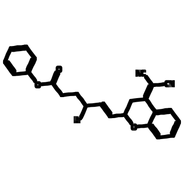 N#CC(C#N)=C1CC(/C=C/C(Br)CCC(=O)Oc2ccccc2)Oc2ccccc21